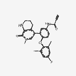 C#CC(=O)Nc1ccc(Oc2c(C)cc(F)cc2C)c(-c2cn(C)c(=O)c3c2CCCN3)c1